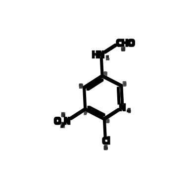 O=CNc1cnc(Cl)c([N+](=O)[O-])c1